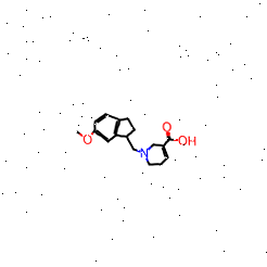 COc1ccc2c(c1)C(CN1CCC=C(C(=O)O)C1)CC2